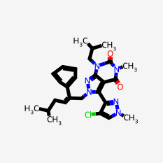 CC(C)CC=C(Cn1nc2c(c1-c1nn(C)cc1Cl)c(=O)n(C)c(=O)n2CC(C)C)c1ccccc1